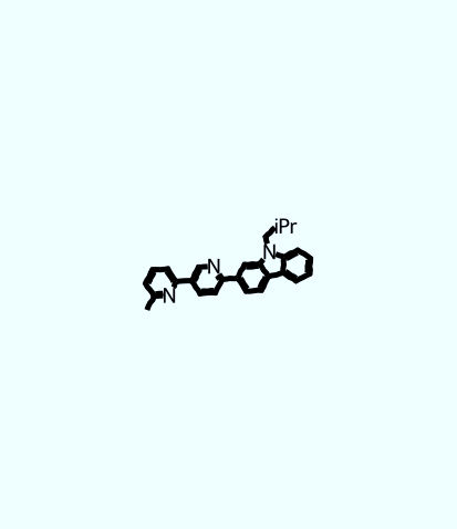 Cc1cccc(-c2ccc(-c3ccc4c5ccccc5n(CC(C)C)c4c3)nc2)n1